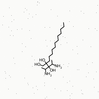 CCCCCCCCCCCCC(O)(CO)C(O)(C(C)N)C(C)N